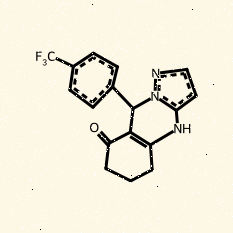 O=C1CCCC2=C1C(c1ccc(C(F)(F)F)cc1)n1nccc1N2